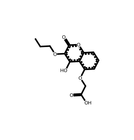 CCCOc1c(O)c2c(OCC(=O)O)cccc2oc1=O